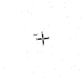 [F][Al-]([F])([F])[F].[Na+]